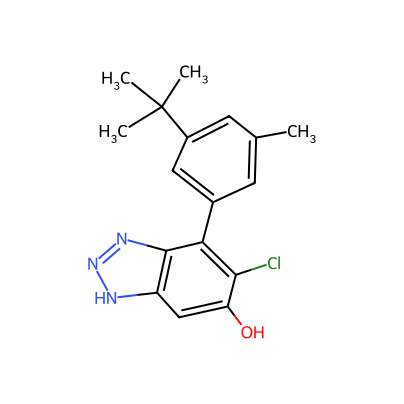 Cc1cc(-c2c(Cl)c(O)cc3[nH]nnc23)cc(C(C)(C)C)c1